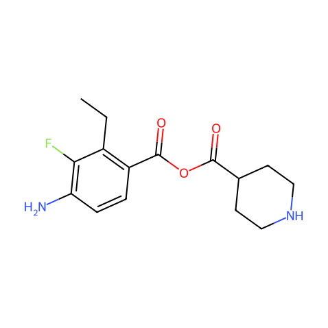 CCc1c(C(=O)OC(=O)C2CCNCC2)ccc(N)c1F